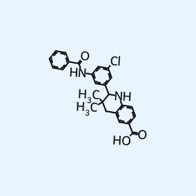 CC1(C)Cc2cc(C(=O)O)ccc2NC1c1cc(Cl)cc(NC(=O)c2ccccc2)c1